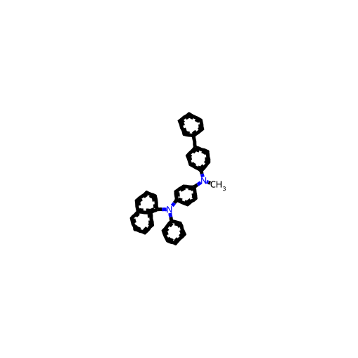 CN(c1ccc(-c2ccccc2)cc1)c1ccc(N(c2ccccc2)c2cccc3ccccc23)cc1